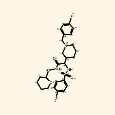 O=C(NOC1CCCCO1)C(NS(=O)(=O)c1ccc(Br)cc1)C1CCCN(Cc2ccc(F)cc2)C1